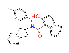 Cc1ccc(CN(C(=O)c2c(O)ccc3ccccc23)C2Cc3ccccc3C2)cc1